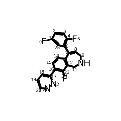 Fc1ccc(F)c(C2=CCNCc3c2ccc(-c2cccnn2)c3F)c1